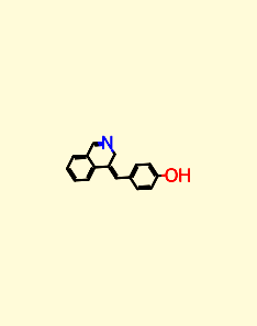 Oc1ccc(C=C2CN=Cc3ccccc32)cc1